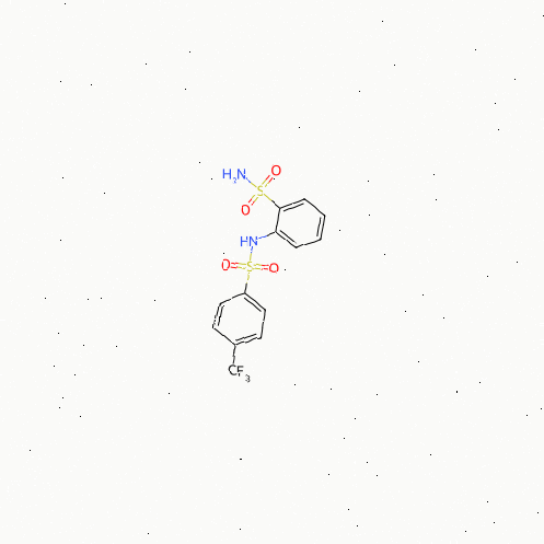 NS(=O)(=O)c1ccccc1NS(=O)(=O)c1ccc(C(F)(F)F)cc1